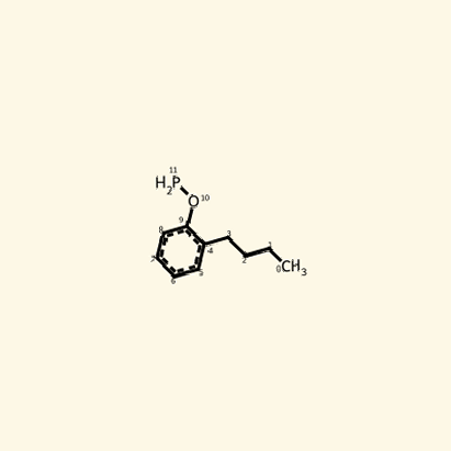 CCCCc1ccccc1OP